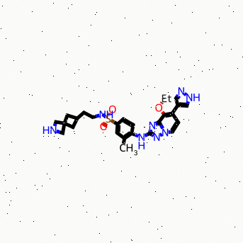 CCOc1c(-c2cn[nH]c2)ccn2nc(Nc3ccc(S(=O)(=O)NCCC4CC5(CNC5)C4)cc3C)nc12